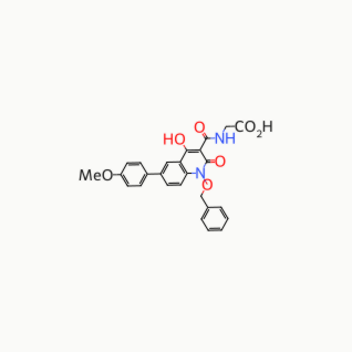 COc1ccc(-c2ccc3c(c2)c(O)c(C(=O)NCC(=O)O)c(=O)n3OCc2ccccc2)cc1